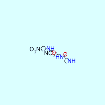 O=C(NCCCOCCNc1ccc([N+](=O)[O-])cc1[N+](=O)[O-])C1CCCNC1